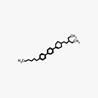 CCCCCCc1ccc(-c2ccc(C3=CCC(CCC(CC)CC)CC3)cc2)cc1